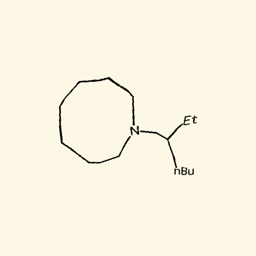 CCCCC(CC)N1CCCCCCC1